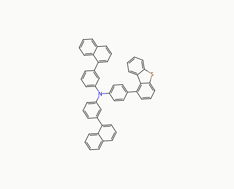 c1cc(-c2cccc3ccccc23)cc(N(c2ccc(-c3cccc4sc5ccccc5c34)cc2)c2cccc(-c3cccc4ccccc34)c2)c1